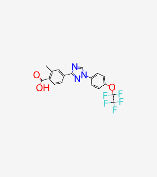 Cc1cc(-c2ncn(-c3ccc(OC(F)(F)C(F)(F)F)cc3)n2)ccc1C(=O)O